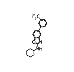 FC(F)(F)c1cccc(-c2ccc3oc(NC4CCCCC4)nc3c2)c1